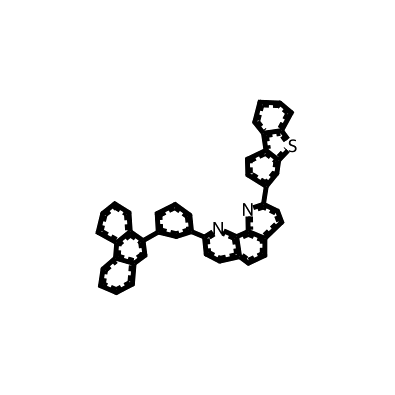 c1cc(-c2ccc3ccc4ccc(-c5ccc6c(c5)sc5ccccc56)nc4c3n2)cc(-c2cc3ccccc3c3ccccc23)c1